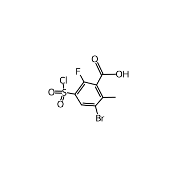 Cc1c(Br)cc(S(=O)(=O)Cl)c(F)c1C(=O)O